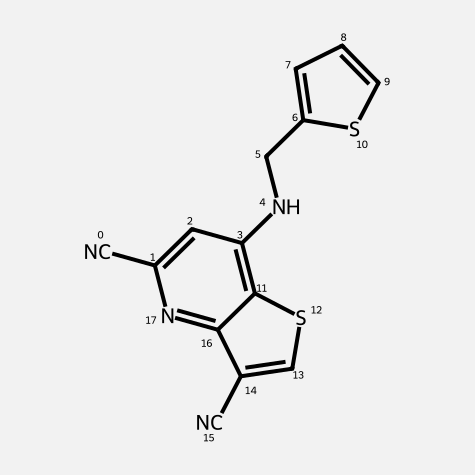 N#Cc1cc(NCc2cccs2)c2scc(C#N)c2n1